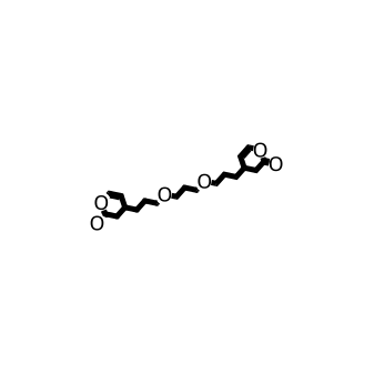 O=C1CC(CCCOCCCOCCCC2C=COC(=O)C2)C=CO1